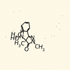 Cc1ccccc1C1=NN(C)C(=O)C1(C)NO